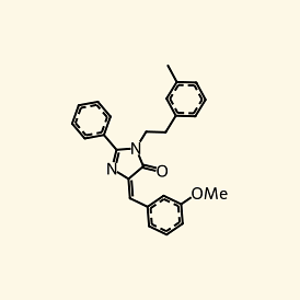 COc1cccc(C=C2N=C(c3ccccc3)N(CCc3cccc(C)c3)C2=O)c1